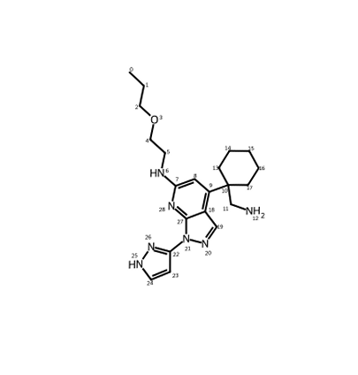 CCCOCCNc1cc(C2(CN)CCCCC2)c2cnn(-c3cc[nH]n3)c2n1